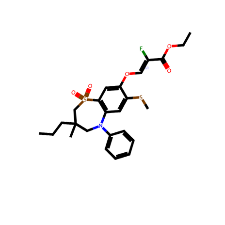 CCCC1(C)CN(c2ccccc2)c2cc(SC)c(O/C=C(\F)C(=O)OCC)cc2S(=O)(=O)C1